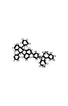 c1ccc(-c2c3c(c(-c4ccccc4)c4ccccc24)-c2ccc(-c4ccc(-n5c6ccncc6c6c7ccccc7ncc65)cc4)c4cccc-3c24)cc1